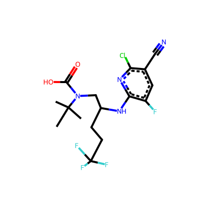 CC(C)(C)N(CC(CCC(F)(F)F)Nc1nc(Cl)c(C#N)cc1F)C(=O)O